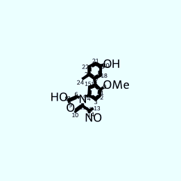 COc1ccc(N2C=C(O)OC=C2C(C)N=O)cc1-c1cc(O)ccc1C